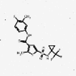 Cc1cc(NC(=O)c2cc(S(=O)(=O)NC3(C(F)(F)F)CC3)sc2C)ccc1F